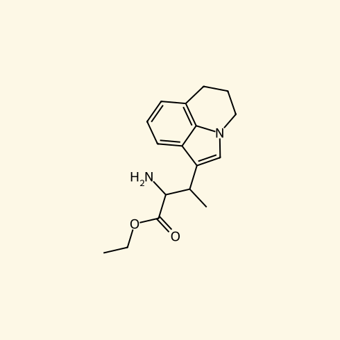 CCOC(=O)C(N)C(C)c1cn2c3c(cccc13)CCC2